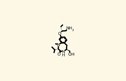 CC[C@H](CN)Oc1ccc2c(c1)N(C)[C@@H](C(C)C)C(=O)N[C@H](CO)C2